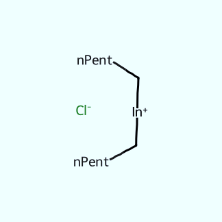 CCCCC[CH2][In+][CH2]CCCCC.[Cl-]